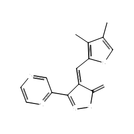 Cc1c[nH]c(C=C2C(=O)NN=C2c2cnccn2)c1C